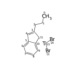 CCCC1=Cc2ccccc2[CH]1.[Br][Ti][Br]